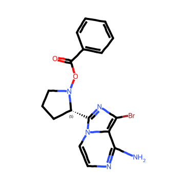 Nc1nccn2c([C@@H]3CCCN3OC(=O)c3ccccc3)nc(Br)c12